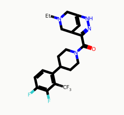 CCN1CC2=CC(C1)C(C(=O)N1CCC(c3ccc(F)c(F)c3C(F)(F)F)CC1)=NN2